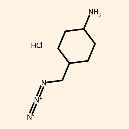 Cl.[N-]=[N+]=NCC1CCC(N)CC1